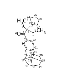 CCC(CC)(C(=O)c1ccc(C23CC4CC(CC(C4)C2)C3)cc1)[S+]1CCCC1